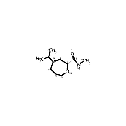 CNC(=O)[C@H]1CN(C(C)C)CCCO1